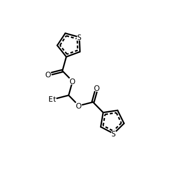 [CH2]CC(OC(=O)c1ccsc1)OC(=O)c1ccsc1